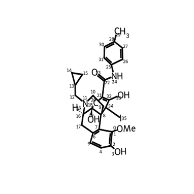 COc1c(O)ccc2c1[C@]13CCN(CC4CC4)[C@H](C2)[C@]1(O)CC(C(=O)Nc1ccc(C)cc1)=C(O)C3I